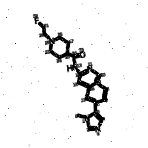 Cn1cncc1-c1ccc2cnc(NC(=O)C3CCN(CCF)CC3)cc2c1